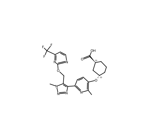 Cc1nc(-c2nnn(C)c2COc2nccc(C(F)(F)F)n2)ccc1O[C@H]1CCC[C@H](C(=O)O)C1